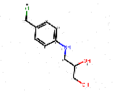 OCC(O)CNc1ccc(CCl)cc1